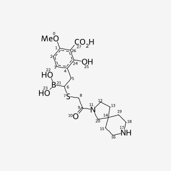 COc1ccc(CC(SCC(=O)N2CCC3(CCNCC3)C2)B(O)O)c(O)c1C(=O)O